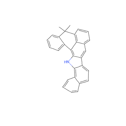 CC1(C)c2ccccc2-c2c3[nH]c4c5ccccc5ccc4c3cc3cccc1c23